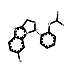 FC(F)Oc1ccccc1[C@H]1SCc2nc3ccc(Br)cc3n21